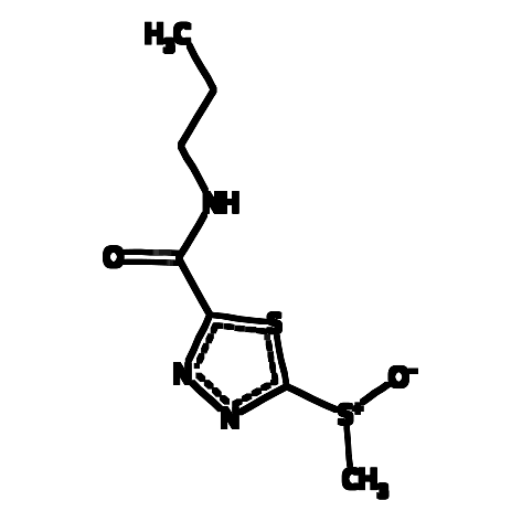 CCCNC(=O)c1nnc([S+](C)[O-])s1